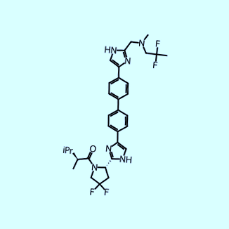 CC(C)[C@H](C)C(=O)N1CC(F)(F)C[C@H]1c1nc(-c2ccc(-c3ccc(-c4c[nH]c(CN(C)CC(C)(F)F)n4)cc3)cc2)c[nH]1